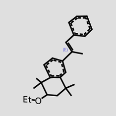 CCOC1CC(C)(C)c2cc(/C(C)=C/c3ccccc3)ccc2C1(C)C